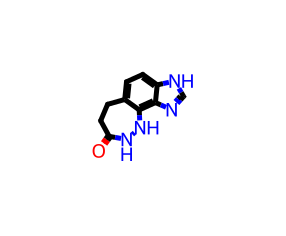 O=C1CCc2ccc3[nH]cnc3c2NN1